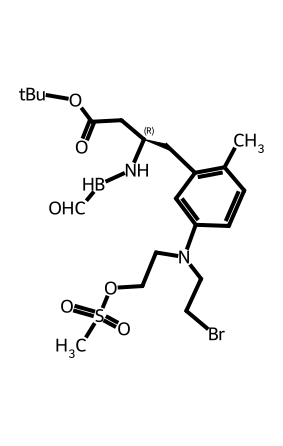 Cc1ccc(N(CCBr)CCOS(C)(=O)=O)cc1C[C@H](CC(=O)OC(C)(C)C)NBC=O